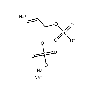 C=CCOS(=O)(=O)[O-].O=S(=O)([O-])[O-].[Na+].[Na+].[Na+]